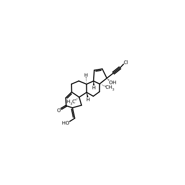 C[C@]12C/C(=C/O)C(=O)C=C1CC[C@@H]1[C@@H]2CC[C@@]2(C)[C@H]1C=C[C@@]2(O)C#CCl